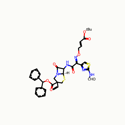 C=CC1(C(=O)OC(c2ccccc2)c2ccccc2)CS[C@@H]2C(NC(=O)C(=NOCC=CC(=O)OC(C)(C)C)c3csc(NC=O)n3)C(=O)N2C1